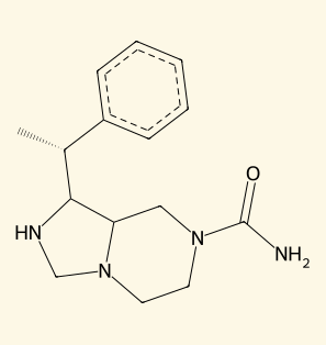 C[C@H](c1ccccc1)C1NCN2CCN(C(N)=O)CC12